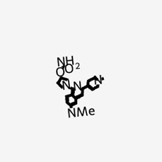 CNc1ccc2c(N3CCC(OC(N)=O)C3)nc(C3=CCN(C)CC3)cc2c1